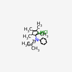 CC1=C(C)C(C)C([N]([Zr]=[Ge]([CH3])[CH3])c2ccccc2)=C1C.Cl.Cl